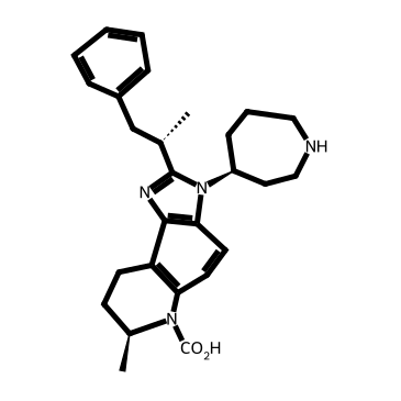 C[C@@H](Cc1ccccc1)c1nc2c3c(ccc2n1[C@H]1CCCNCC1)N(C(=O)O)[C@@H](C)CC3